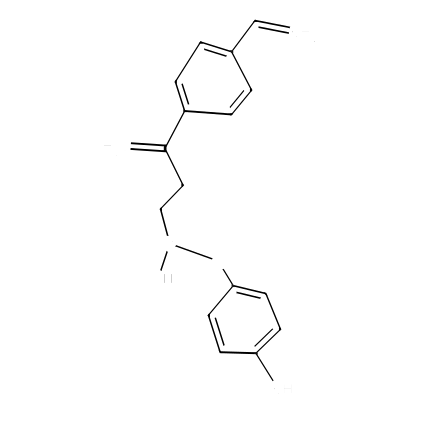 C=Cc1ccc(C(=C)CCP(C)Sc2ccc(C)cc2)cc1